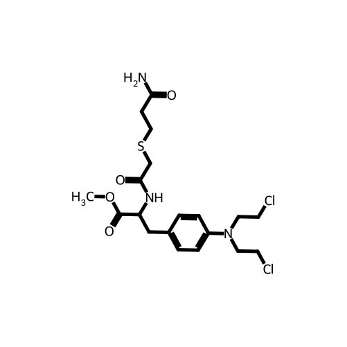 COC(=O)C(Cc1ccc(N(CCCl)CCCl)cc1)NC(=O)CSCCC(N)=O